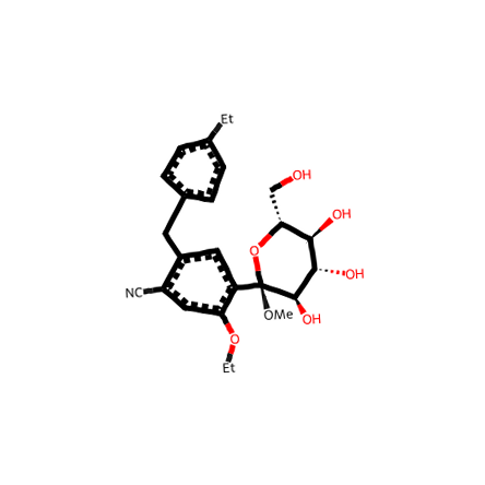 CCOc1cc(C#N)c(Cc2ccc(CC)cc2)cc1[C@]1(OC)O[C@H](CO)[C@@H](O)[C@H](O)[C@H]1O